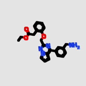 CCOC(=O)Cc1ccccc1OCc1nc(-c2cccc(CN)c2)c2cccn2n1